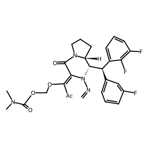 C=NN1/C(=C(/OCOC(=O)N(C)C)C(C)=O)C(=O)N2CCC[C@@H]2[C@@H]1[C@H](c1cccc(F)c1)c1cccc(F)c1F